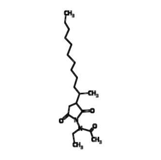 CCCCCCCCCCC(C)C1CC(=O)N(N(CC)C(C)=O)C1=O